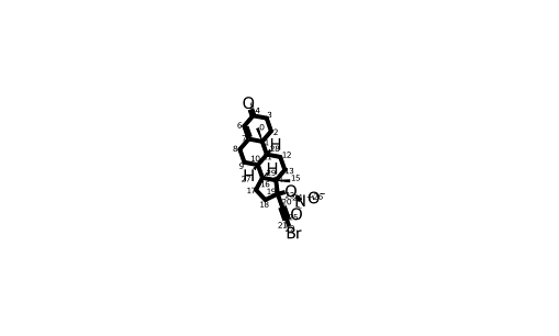 C[C@]12CCC(=O)C=C1CC[C@@H]1[C@H]2CC[C@@]2(C)[C@H]1CCC2(C#CBr)O[N+](=O)[O-]